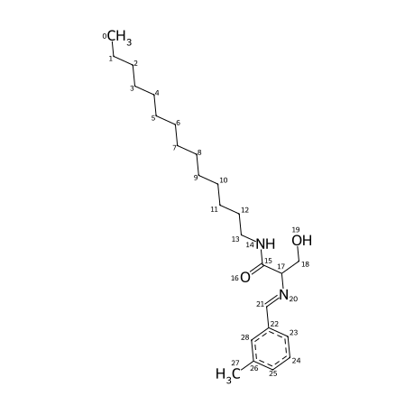 CCCCCCCCCCCCCCNC(=O)C(CO)N=Cc1cccc(C)c1